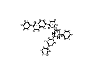 c1ccc(-c2ccc(-c3nc(-c4ccccc4)nc(-c4cccc(-c5ccc6cc(-c7ccccc7)ccc6c5)c4)n3)cc2)cc1